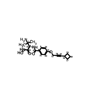 CC(C)(N)[C@H](NC(=O)c1ccc(OCC#CC2CCC2)cc1)C(=O)NO